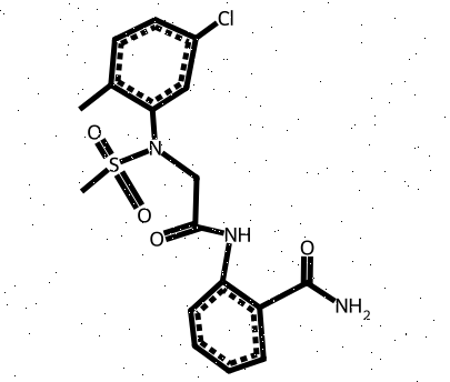 Cc1ccc(Cl)cc1N(CC(=O)Nc1ccccc1C(N)=O)S(C)(=O)=O